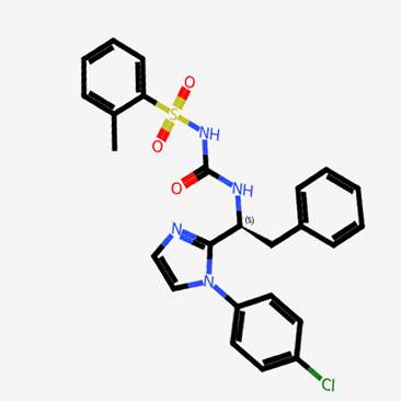 Cc1ccccc1S(=O)(=O)NC(=O)N[C@@H](Cc1ccccc1)c1nccn1-c1ccc(Cl)cc1